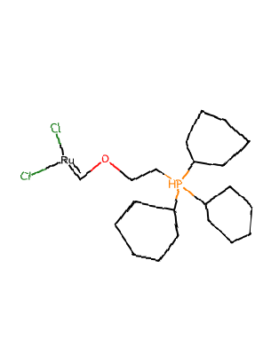 [Cl][Ru]([Cl])=[CH]OCC[PH](C1CCCCC1)(C1CCCCC1)C1CCCCC1